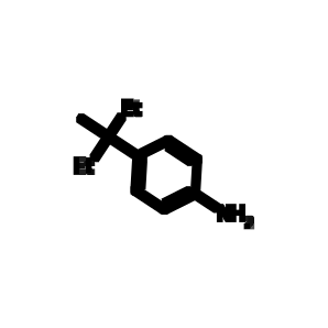 CCC(C)(CC)c1ccc(N)cc1